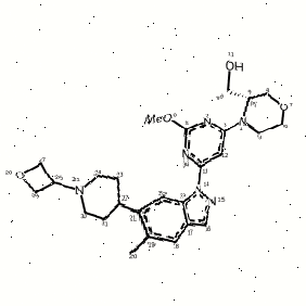 COc1nc(N2CCOC[C@H]2CO)cc(-n2ncc3cc(C)c(C4CCN(C5COC5)CC4)cc32)n1